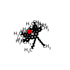 CCCCCCCCc1c(CCCCCCCC)c2cc3c(cc2c2cc4c(cc12)-c1ccc(C(C)(C)N)cc1C4(c1ccc(C(C)(C)C)cc1)c1ccc(C(C)(C)C)cc1)C(c1ccc(C(C)(C)C)cc1)(c1ccc(C(C)(C)C)cc1)c1cc(C(C)(C)N)ccc1-3